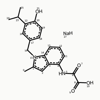 Cc1cc2c(NC(=O)C(=O)O)cccc2n1Cc1ccc(O)c(C(C)C)c1.[NaH]